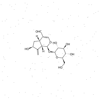 C=C1[C@H]2[C@H](O[C@@H]3O[C@H](CO)[C@@H](O)[C@H](O)[C@H]3O)OC=C(C=O)[C@H]2C[C@@H]1O